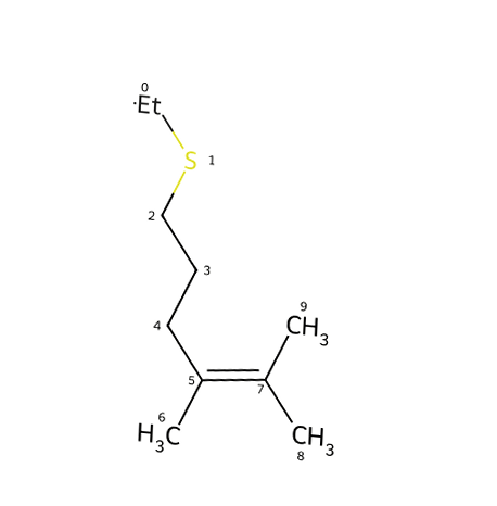 C[CH]SCCCC(C)=C(C)C